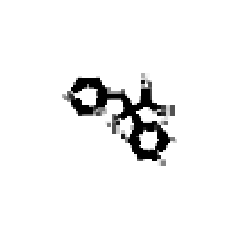 NC(Cc1ccncn1)(C(=O)O)c1ccncn1